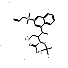 C=CC[Si](C)(C)c1cc(C(C)C(CO)N(OC(C)(C)C)C(N)=O)c2ccccc2c1